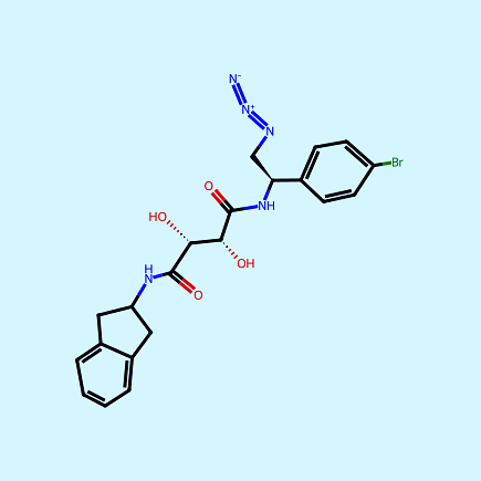 [N-]=[N+]=NC[C@H](NC(=O)[C@H](O)[C@@H](O)C(=O)NC1Cc2ccccc2C1)c1ccc(Br)cc1